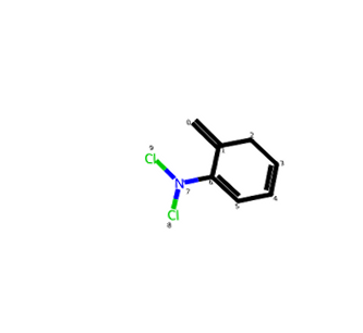 C=C1CC=CC=C1N(Cl)Cl